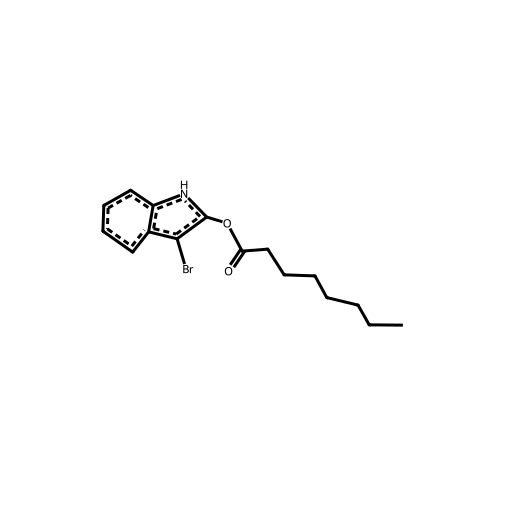 CCCCCCCC(=O)Oc1[nH]c2ccccc2c1Br